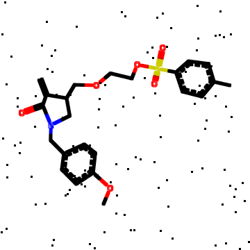 C=C1C(=O)N(Cc2ccc(OC)cc2)CC1COCCOS(=O)(=O)c1ccc(C)cc1